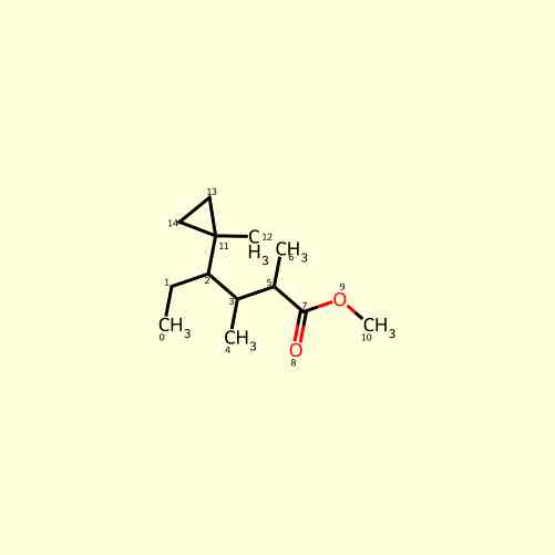 CCC(C(C)C(C)C(=O)OC)C1(C)CC1